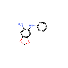 Nc1cc2c(cc1Nc1c[c]ccc1)OCO2